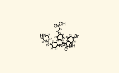 O=C(O)CCc1ccc(/C(Nc2ccc(CN3CCNCC3)cc2)=C2/C(=O)Nc3cc(Br)ccc32)cc1